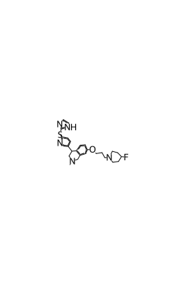 CN1Cc2cc(OCCCN3CCC(F)CC3)ccc2C(c2ccc(Sc3ncc[nH]3)nc2)C1